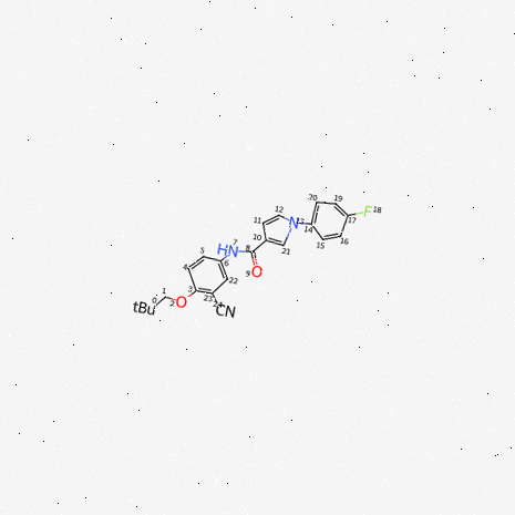 CC(C)(C)COc1ccc(NC(=O)c2ccn(-c3ccc(F)cc3)c2)cc1C#N